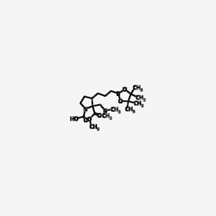 COC(=O)C1(CN(C)C)C(CCCB2OC(C)(C)C(C)(C)O2)CCN1C(=O)O